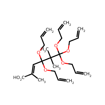 C=CCOC(C=C(C)C(=O)O)(OCC=C)C(C)(C)C(OCC=C)(OCC=C)OCC=C